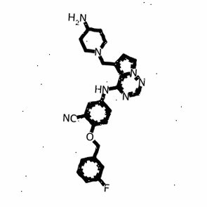 N#Cc1cc(Nc2ncnn3ccc(CN4CCC(N)CC4)c23)ccc1OCc1cccc(F)c1